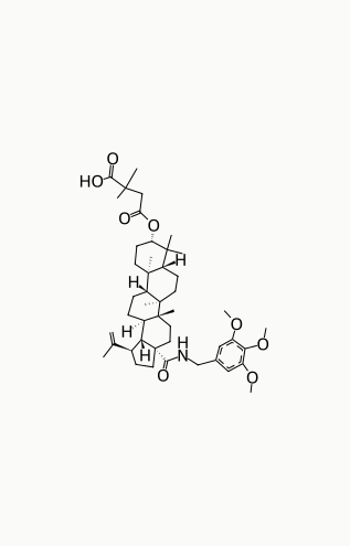 C=C(C)[C@@H]1CC[C@]2(C(=O)NCc3cc(OC)c(OC)c(OC)c3)CC[C@]3(C)[C@H](CC[C@@H]4[C@@]5(C)CC[C@H](OC(=O)CC(C)(C)C(=O)O)C(C)(C)[C@@H]5CC[C@]43C)[C@@H]12